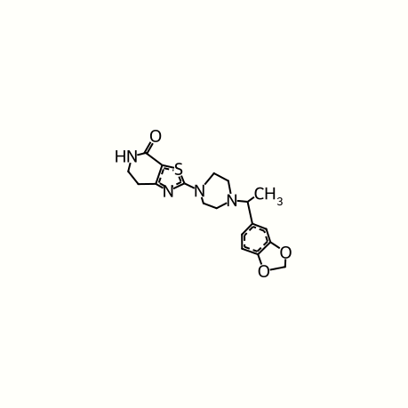 CC(c1ccc2c(c1)OCO2)N1CCN(c2nc3c(s2)C(=O)NCC3)CC1